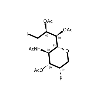 CC(=O)N[C@H]1[C@H]([C@H](OC(C)=O)[C@@H](CI)OC(C)=O)OC[C@H](F)[C@@H]1OC(C)=O